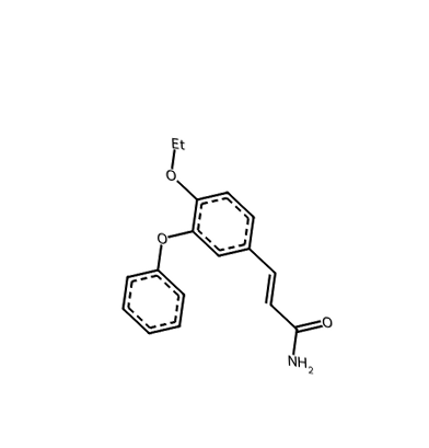 CCOc1ccc(C=CC(N)=O)cc1Oc1ccccc1